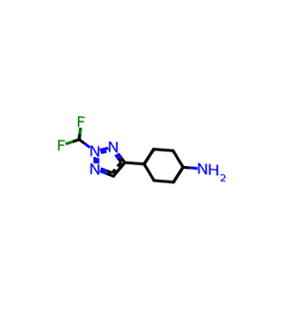 NC1CCC(c2cnn(C(F)F)n2)CC1